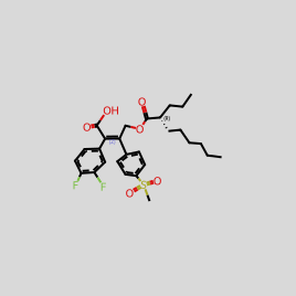 CCCCCC[C@@H](CCC)C(=O)OC/C(=C(\C(=O)O)c1ccc(F)c(F)c1)c1ccc(S(C)(=O)=O)cc1